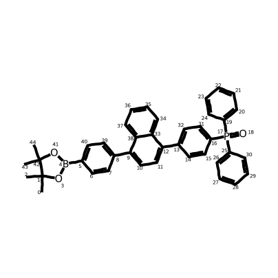 CC1(C)OB(c2ccc(-c3ccc(-c4ccc(P(=O)(c5ccccc5)c5ccccc5)cc4)c4ccccc34)cc2)OC1(C)C